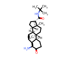 CC(C)(C)NC(=O)[C@H]1CC[C@H]2[C@@H]3C=CC4=C(N)C(=O)CC[C@]4(C)[C@H]3CC[C@]12C